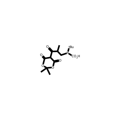 CC(CN(C(=O)O)C(C)(C)C)C(=O)C1C(=O)OC(C)(C)OC1=O